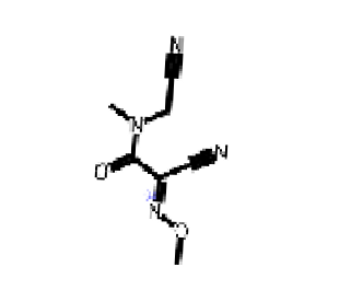 CO/N=C(\C#N)C(=O)N(C)CC#N